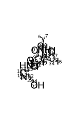 O=C(NOCC1CC1)c1cc(S(=O)(=O)NCc2cccnc2CCCO)c(F)c(F)c1Nc1ccc(I)cc1Cl